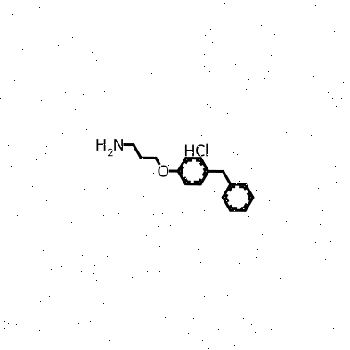 Cl.NCCCOc1ccc(Cc2ccccc2)cc1